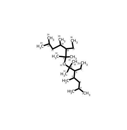 CCC(C(C)CC(C)C)C(C)(C)OC(C)(C)C(CC)C(C)CC(C)C